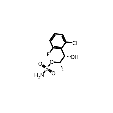 C[C@H](OS(N)(=O)=O)[C@@H](O)c1c(F)cccc1Cl